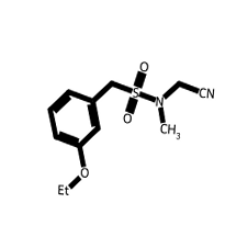 CCOc1cccc(CS(=O)(=O)N(C)CC#N)c1